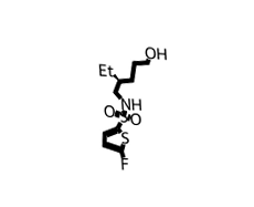 CC[C@@H](CCCO)CNS(=O)(=O)c1ccc(F)s1